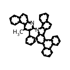 Cc1c(-c2ccccc2)c(-n2c3ccc4c5ccccc5c5ccccc5c4c3c3ccc4ccccc4c32)nc2ccc3ccccc3c12